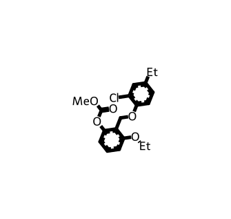 CCOc1cccc(OC(=O)OC)c1COc1ccc(CC)cc1Cl